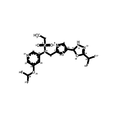 CCS(=O)(=O)N(Cc1ncc(C2NN=C(C(F)F)O2)s1)c1cncc(OC(F)F)c1